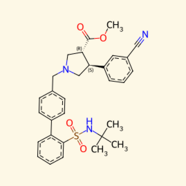 COC(=O)[C@H]1CN(Cc2ccc(-c3ccccc3S(=O)(=O)NC(C)(C)C)cc2)C[C@@H]1c1cccc(C#N)c1